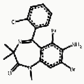 CN1C(=O)C(C)(C)N=C(c2ccccc2Cl)c2c1cc(Br)c(N)c2Br